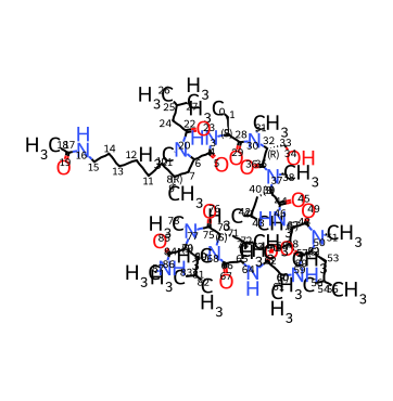 CC[C@H](NC(=O)C(C[C@H](C)CCCCCCNC(C)=O)N(C)C(=O)CC(C)C)C(=O)N(C)[C@H](CO)C(=O)N(C)[C@@H](CC(C)C)C(=O)N[C@H](C(=O)N(C)[C@@H](CC(C)C)C(=O)N[C@H](C)C(=O)NCC(=O)N(C)[C@@H](CC(C)C)C(=O)N(C)[C@@H](CC(C)C)C(=O)NC)C(C)C